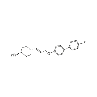 CCC[C@H]1CC[C@H](/C=C/COc2ccc(-c3ccc(F)cc3)cc2)CC1